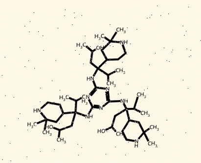 CC(O)CC(Nc1nc(NC(CC(C)O)(C(C)C)C2CCNC(C)(C)C2)nc(NC(CC(C)O)(C(C)C)C2CCNC(C)(C)C2)n1)(C(C)C)C1CCNC(C)(C)C1